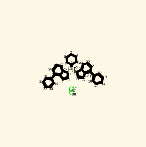 C1=C[CH]([Hf+2](=[C]2CCCCC2)[CH]2C=Cc3c(-c4ccccc4)cccc32)c2cccc(-c3ccccc3)c21.[Cl-].[Cl-]